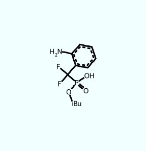 CCC(C)OP(=O)(O)C(F)(F)c1ccccc1N